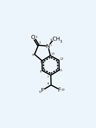 CN1C(=O)Cc2cc(C(F)F)ccc21